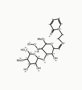 CCONC1C(OC)OC(/C=N\CCn2ccccc2=O)C(O)C1OC1OC(C(=O)O)C(OC)C(O)C1O